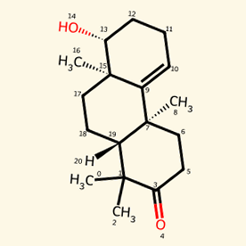 CC1(C)C(=O)CC[C@]2(C)C3=CCC[C@@H](O)[C@]3(C)CC[C@@H]12